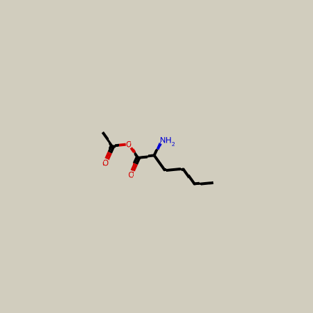 CCCCC(N)C(=O)OC(C)=O